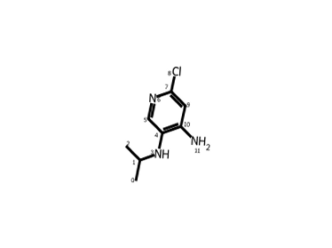 CC(C)Nc1cnc(Cl)cc1N